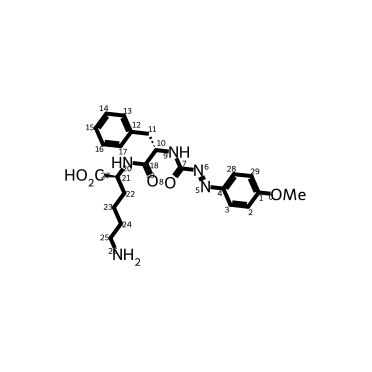 COc1ccc(/N=N/C(=O)N[C@@H](Cc2ccccc2)C(=O)N[C@@H](CCCCN)C(=O)O)cc1